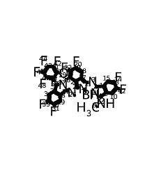 Bn1c(/N=C2\N=C(NC)c3cc(F)c(F)cc32)c2cc(F)c(F)cc2c1/N=C1/c2cc(F)c(F)cc2CN1COc1c(F)c(F)c(F)c(F)c1F